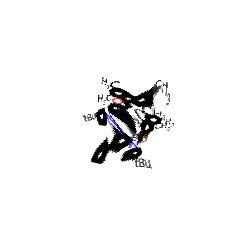 CC1=CC2=C(C(C)C1)C1(Cc3cc4c(cc3O1)N(c1ccc(C(C)(C)C)cc1)c1cc(-c3ccccc3)cc3c1B4c1c(sc4cc5c(cc14)C(C)(C)CCC5(C)C)N3c1ccc(C(C)(C)C)cc1)c1ccc(C)cc12